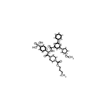 CCCCOC(=O)N1CCN(C(=O)C(NC(=O)c2cc(N3CC[C@H](OC)C3)nc(-c3ccccc3)n2)c2ccc(P(=O)(O)O)cc2)CC1